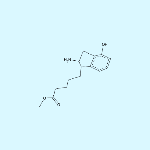 COC(=O)CCCCC1c2cccc(O)c2CC1N